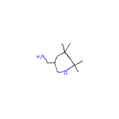 CC1(C)CC(CN)CNC(C)(C)C1